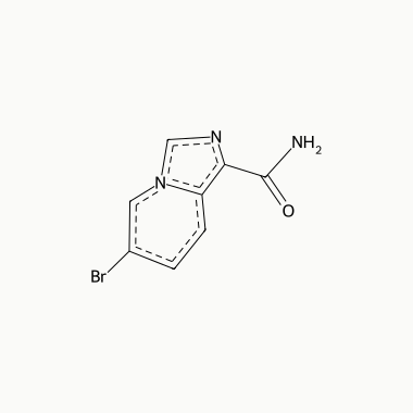 NC(=O)c1ncn2cc(Br)ccc12